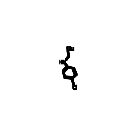 CC(C)(C)CNc1ccc(Cl)cc1